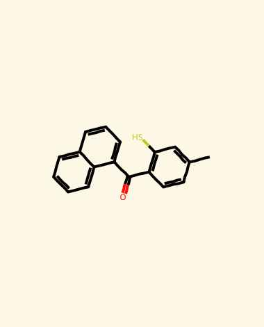 Cc1ccc(C(=O)c2cccc3ccccc23)c(S)c1